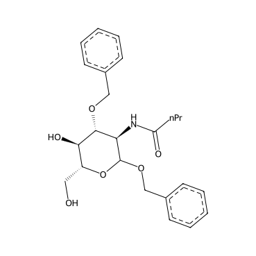 CCCC(=O)N[C@H]1C(OCc2ccccc2)O[C@H](CO)[C@@H](O)[C@@H]1OCc1ccccc1